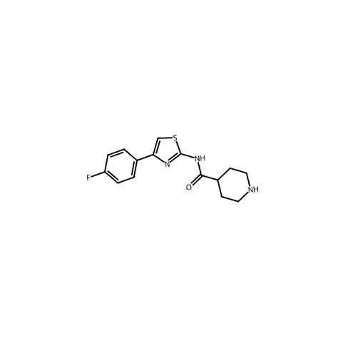 O=C(Nc1nc(-c2ccc(F)cc2)cs1)C1CCNCC1